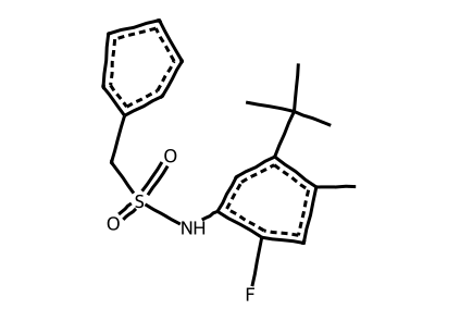 Cc1cc(F)c(NS(=O)(=O)Cc2ccccc2)cc1C(C)(C)C